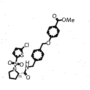 COC(=O)c1ccc(OCc2ccc(CNC(=O)[C@@H]3CCCN3S(=O)(=O)c3ccc(Cl)s3)cc2)cc1